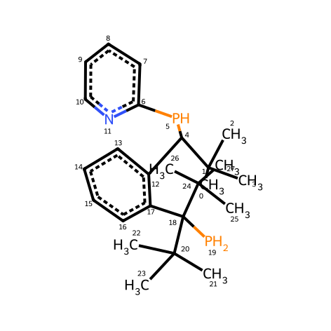 CC(C)(C)C(Pc1ccccn1)c1ccccc1C(P)(C(C)(C)C)C(C)(C)C